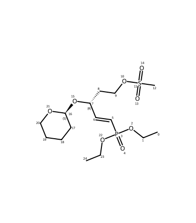 CCOP(=O)(C=C[C@@H](CCOS(C)(=O)=O)O[C@H]1CCCCO1)OCC